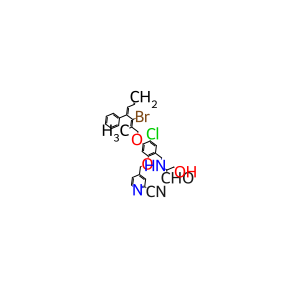 C=C/C=C(\C(Br)=C(/C)COc1cc(OCc2ccnc(C#N)c2)c(CN[C@H](C=O)CO)cc1Cl)c1ccccc1